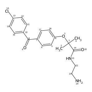 CC(C)(Oc1ccc(C(=O)c2ccc(Cl)cc2)cc1)C(=O)NCCN